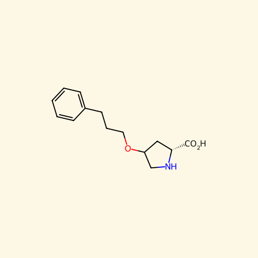 O=C(O)[C@H]1CC(OCCCc2ccccc2)CN1